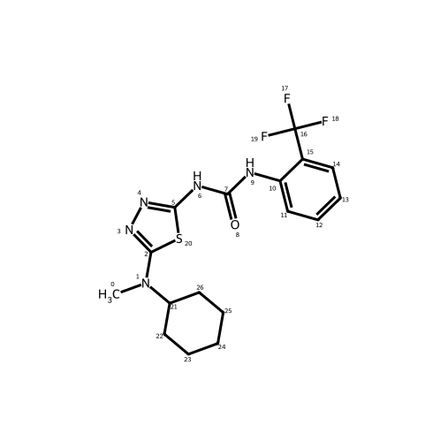 CN(c1nnc(NC(=O)Nc2ccccc2C(F)(F)F)s1)C1CCCCC1